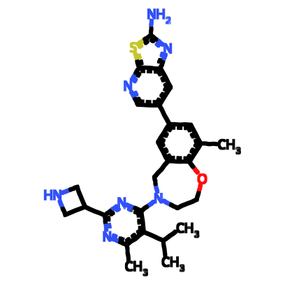 Cc1cc(-c2cnc3sc(N)nc3c2)cc2c1OCCN(c1nc(C3CNC3)nc(C)c1C(C)C)C2